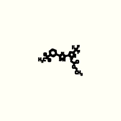 CCOC(=O)Cn1nc(C(F)(F)F)cc1-c1nsc(-c2cccc(S(C)(=O)=O)c2)n1